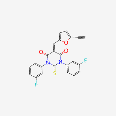 C#Cc1ccc(C=C2C(=O)N(c3cccc(F)c3)C(=S)N(c3cccc(F)c3)C2=O)o1